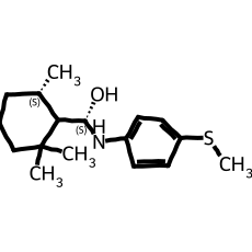 CSc1ccc(N[C@@H](O)C2[C@@H](C)CCCC2(C)C)cc1